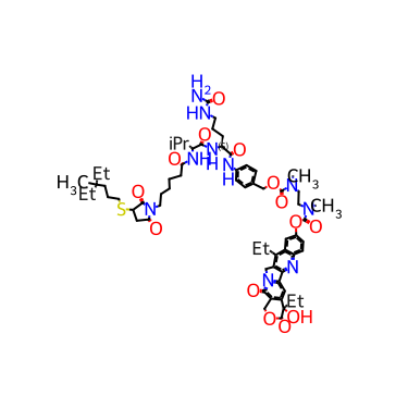 CCc1c2c(nc3ccc(OC(=O)N(C)CCN(C)C(=O)OCc4ccc(NC(=O)[C@H](CCCNC(N)=O)NC(=O)C(NC(=O)CCCCCN5C(=O)CC(SCCCC(C)(CC)CC)C5=O)C(C)C)cc4)cc13)-c1cc3c(c(=O)n1C2)COC(=O)C3(O)CC